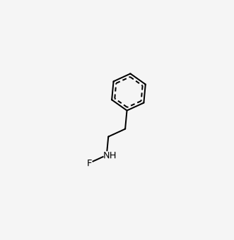 FNCCc1ccccc1